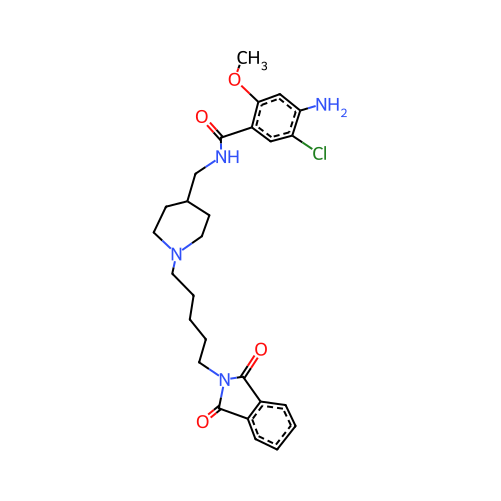 COc1cc(N)c(Cl)cc1C(=O)NCC1CCN(CCCCCN2C(=O)c3ccccc3C2=O)CC1